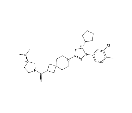 Cc1ccc(N2N=C(N3CCC4(CC3)CC(C(=O)N3CC[C@@H](N(C)C)C3)C4)C[C@@H]2C2CCCC2)cc1Cl